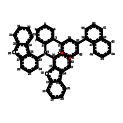 c1cc(-c2ccccc2N(c2cccc3c2oc2ccccc23)c2cccc3oc4ccccc4c23)cc(-c2cccc3ccccc23)c1